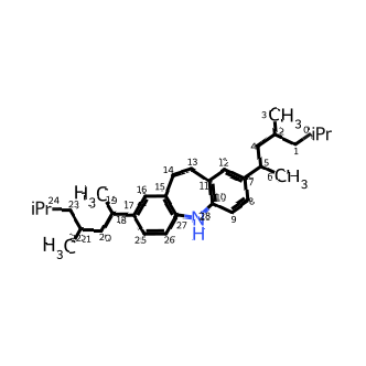 CC(C)CC(C)CC(C)c1ccc2c(c1)CCc1cc(C(C)CC(C)CC(C)C)ccc1N2